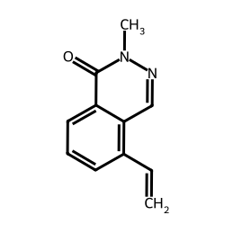 C=Cc1cccc2c(=O)n(C)ncc12